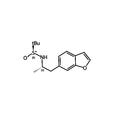 C[C@@H](Cc1ccc2ccoc2c1)N[S@@+]([O-])C(C)(C)C